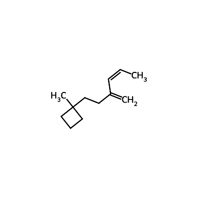 C=C(/C=C\C)CCC1(C)CCC1